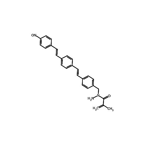 C=C(C)C(=O)N(N)Cc1ccc(/C=C/c2ccc(/C=C/c3ccc(N=O)cc3)cc2)cc1